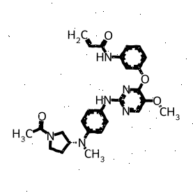 C=CC(=O)Nc1cccc(Oc2nc(Nc3ccc(N(C)[C@@H]4CCN(C(C)=O)C4)cc3)ncc2OC)c1